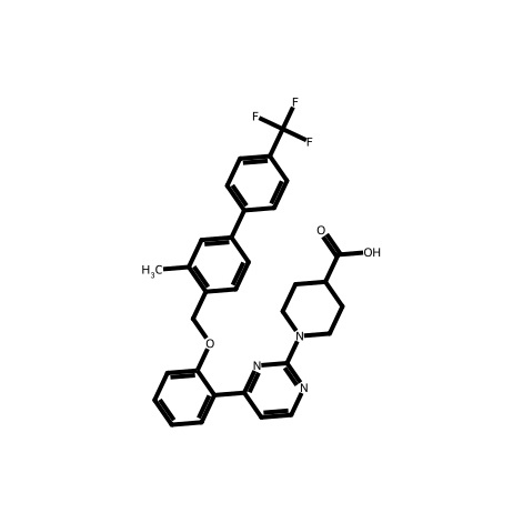 Cc1cc(-c2ccc(C(F)(F)F)cc2)ccc1COc1ccccc1-c1ccnc(N2CCC(C(=O)O)CC2)n1